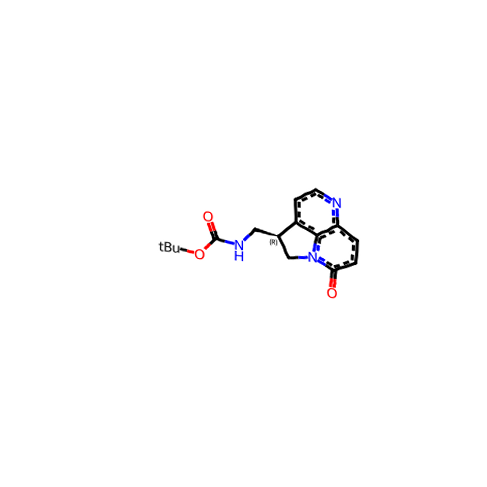 CC(C)(C)OC(=O)NC[C@@H]1Cn2c(=O)ccc3nccc1c32